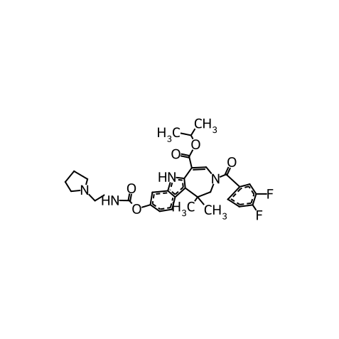 CC(C)OC(=O)C1=CN(C(=O)c2ccc(F)c(F)c2)CC(C)(C)c2c1[nH]c1cc(OC(=O)NCCN3CCCC3)ccc21